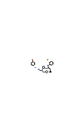 N=C(/C(=C/C1CC1)CC1CCC1C(C/C=N/c1nc2c(P)cc(C(=O)O)cc2s1)CC1CCC1)c1ccccc1OC(F)(F)F